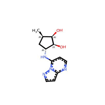 C[C@@H]1C[C@@H](Nc2ccnc3ccnn23)[C@H](O)[C@@H]1O